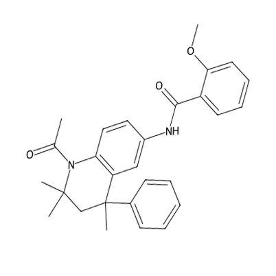 COc1ccccc1C(=O)Nc1ccc2c(c1)C(C)(c1ccccc1)CC(C)(C)N2C(C)=O